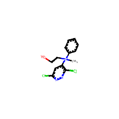 C[N+](CCO)(c1ccccc1)c1cc(Cl)nnc1Cl